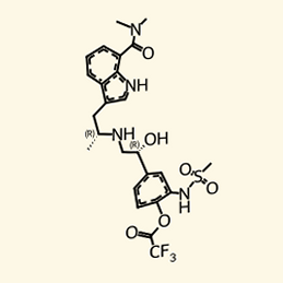 C[C@H](Cc1c[nH]c2c(C(=O)N(C)C)cccc12)NC[C@H](O)c1ccc(OC(=O)C(F)(F)F)c(NS(C)(=O)=O)c1